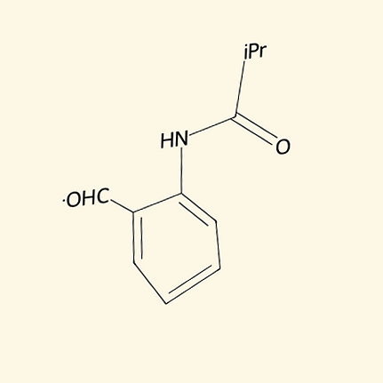 CC(C)C(=O)Nc1ccccc1[C]=O